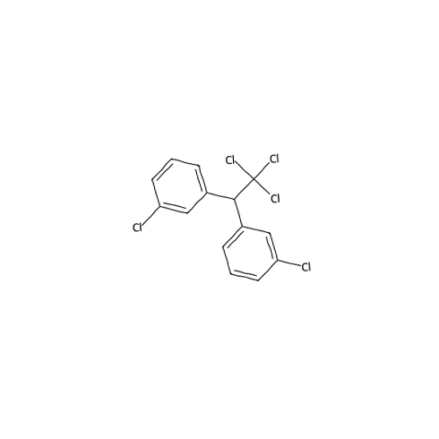 Clc1cccc(C(c2cccc(Cl)c2)C(Cl)(Cl)Cl)c1